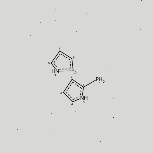 Pc1ccc[nH]1.c1cc[nH]c1